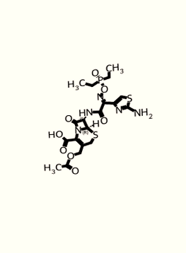 CCP(=O)(CC)ON=C(C(=O)N[C@H]1C(=O)N2C(C(=O)O)=C(COC(C)=O)CS[C@H]12)c1csc(N)n1